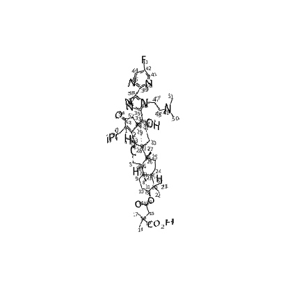 CC(C)C1=C2[C@H]3CC[C@@H]4[C@@]5(C)CC[C@H](OC(=O)CC(C)(C)C(=O)O)C(C)(C)[C@@H]5CC[C@@]4(C)[C@]3(C)CC[C@@]2([C@@H](O)c2nnc(-c3ncc(F)cn3)n2CCN(C)C)CC1=O